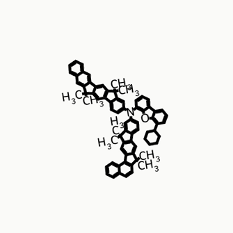 CC1(C)c2cc(N(c3ccc4c(c3)C(C)(C)c3cc5c(cc3-4)C(C)(C)c3ccc4ccccc4c3-5)c3cccc4c3oc3c(C5CCCCC5)cccc34)ccc2-c2cc3c(cc21)-c1cc2ccccc2cc1C3(C)C